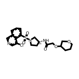 O=C(COC1CCCOC1)N[C@@H]1CCN(S(=O)(=O)c2cccc3cncc(Cl)c23)C1